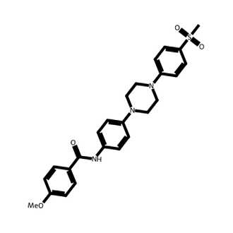 COc1ccc(C(=O)Nc2ccc(N3CCN(c4ccc(S(C)(=O)=O)cc4)CC3)cc2)cc1